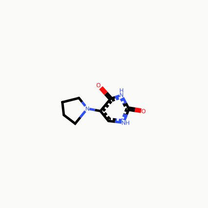 O=c1[nH]cc(N2CCCC2)c(=O)[nH]1